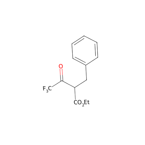 CCOC(=O)C(Cc1ccccc1)C(=O)C(F)(F)F